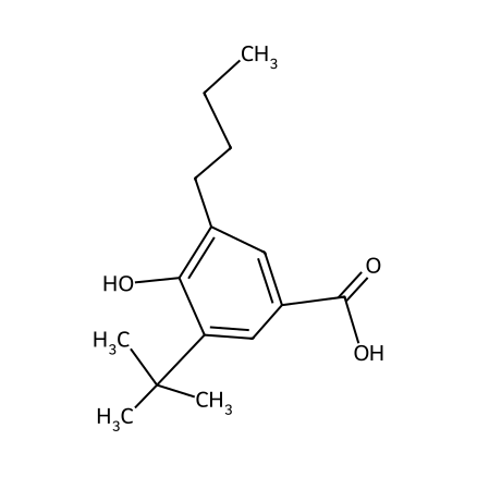 CCCCc1cc(C(=O)O)cc(C(C)(C)C)c1O